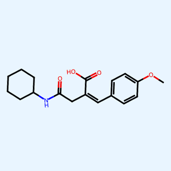 COc1ccc(C=C(CC(=O)NC2CCCCC2)C(=O)O)cc1